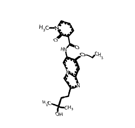 CCOc1cc2nc(CCC(C)(C)O)cn2cc1NC(=O)c1cccn(C)c1=O